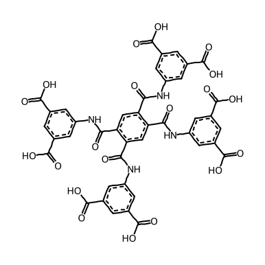 O=C(O)c1cc(NC(=O)c2cc(C(=O)Nc3cc(C(=O)O)cc(C(=O)O)c3)c(C(=O)Nc3cc(C(=O)O)cc(C(=O)O)c3)cc2C(=O)Nc2cc(C(=O)O)cc(C(=O)O)c2)cc(C(=O)O)c1